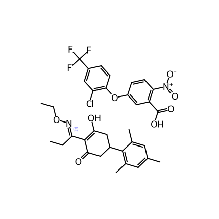 CCO/N=C(\CC)C1=C(O)CC(c2c(C)cc(C)cc2C)CC1=O.O=C(O)c1cc(Oc2ccc(C(F)(F)F)cc2Cl)ccc1[N+](=O)[O-]